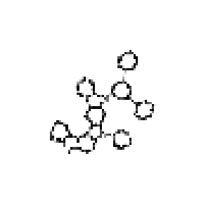 c1ccc(-c2cc(-c3ccccc3)cc(-n3c4ccccc4c4cc5c6c7c(ccc6n(-c6ccccc6)c5cc43)sc3ccccc37)c2)cc1